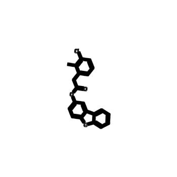 Cc1c(Cl)cccc1CC(=O)Oc1ccc2oc3ccccc3c2c1